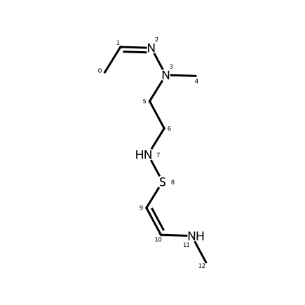 C/C=N\N(C)CCNS/C=C\NC